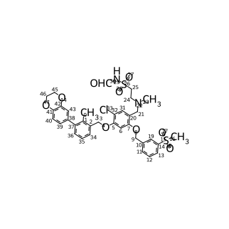 Cc1c(COc2cc(OCc3cccc(S(C)(=O)=O)c3)c(CN(C)CCS(=O)(=O)NC=O)cc2Cl)cccc1-c1ccc2c(c1)OCCO2